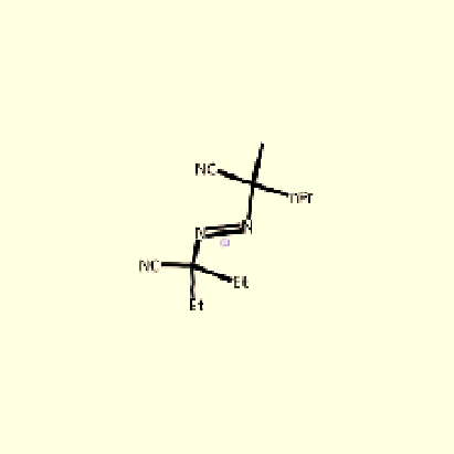 CCCC(C)(C#N)/N=N/C(C#N)(CC)CC